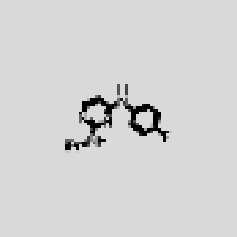 CC(C)Nc1nccc(Nc2ccc(F)cc2)n1